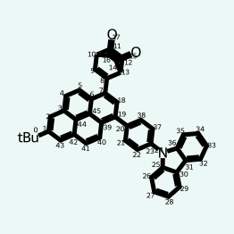 CC(C)(C)c1cc2ccc3c(C4=CC5C=CC4C(=O)C5=O)cc(-c4ccc(-n5c6ccccc6c6ccccc65)cc4)c4ccc(c1)c2c34